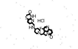 Cl.O=C1CSc2ccc(CNC3CCN(CC4Cn5c(=O)ccc6ncc(F)c4c65)CC3)nc2N1